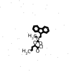 C=CCC(OC(=O)N(C)CC1c2ccccc2-c2ccccc21)C(=O)Cl